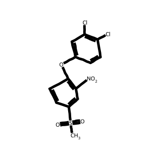 CS(=O)(=O)c1ccc(Oc2ccc(Cl)c(Cl)c2)c([N+](=O)[O-])c1